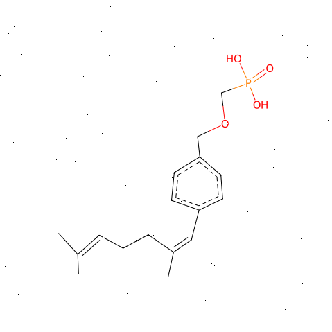 CC(C)=CCCC(C)=Cc1ccc(COCP(=O)(O)O)cc1